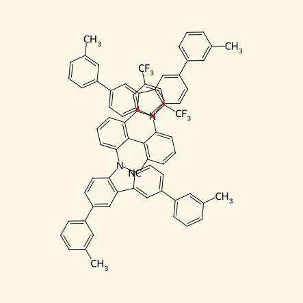 Cc1cccc(-c2ccc3c(c2)c2cc(-c4cccc(C)c4)ccc2n3-c2cccc(C#N)c2-c2c(-c3cc(C(F)(F)F)cc(C(F)(F)F)c3)cccc2-n2c3ccc(-c4cccc(C)c4)cc3c3cc(-c4cccc(C)c4)ccc32)c1